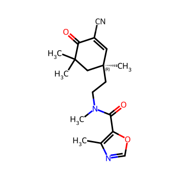 Cc1ncoc1C(=O)N(C)CC[C@]1(C)C=C(C#N)C(=O)C(C)(C)C1